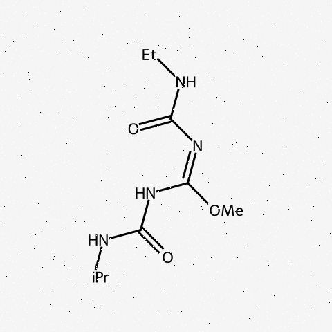 CCNC(=O)N=C(NC(=O)NC(C)C)OC